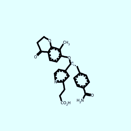 Cc1c(O[C@H](Cc2ccc(C(N)=O)cc2)c2ccnc(CCC(=O)O)c2)ccc2c1OCCC2=O